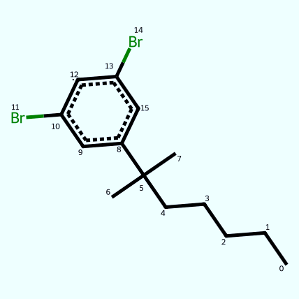 CCCCCC(C)(C)c1cc(Br)[c]c(Br)c1